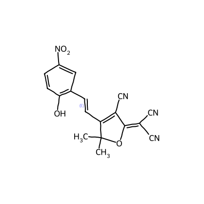 CC1(C)OC(=C(C#N)C#N)C(C#N)=C1/C=C/c1cc([N+](=O)[O-])ccc1O